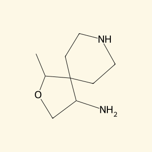 CC1OCC(N)C12CCNCC2